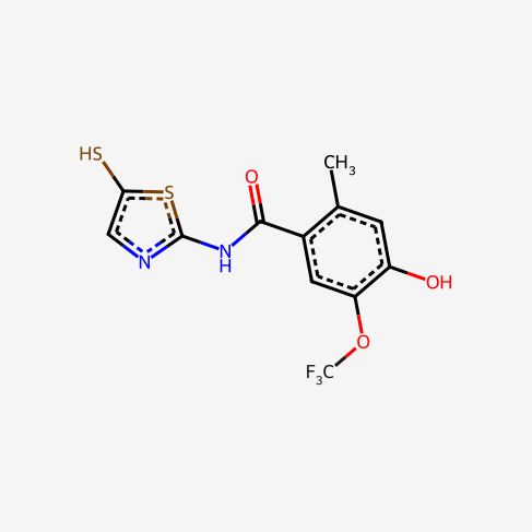 Cc1cc(O)c(OC(F)(F)F)cc1C(=O)Nc1ncc(S)s1